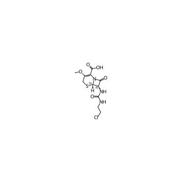 COC1=C(C(=O)O)N2C(=O)[C@@H](NC(=O)NCCCl)[C@@H]2SC1